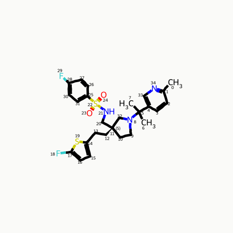 Cc1ccc(C(C)(C)N2CC[C@](CCc3ccc(F)s3)(CNS(=O)(=O)c3ccc(F)cc3)C2)cn1